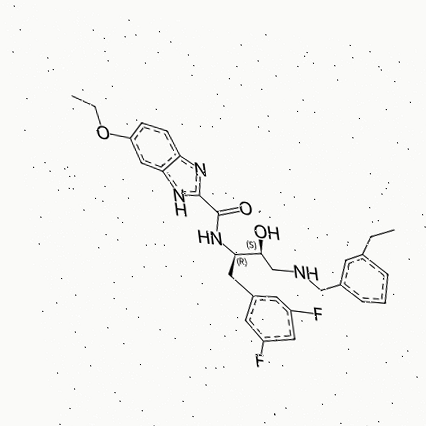 CCOc1ccc2nc(C(=O)N[C@H](Cc3cc(F)cc(F)c3)[C@@H](O)CNCc3cccc(CC)c3)[nH]c2c1